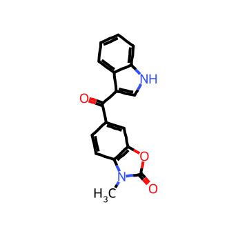 Cn1c(=O)oc2cc(C(=O)c3c[nH]c4ccccc34)ccc21